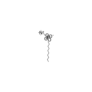 CCCCCCCCCCOP(=O)([O-])OCC[N+](C)(C)C